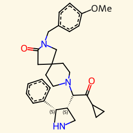 COc1ccc(CN2CC3(CCN(C(C(=O)C4CC4)[C@@H]4CNC[C@@H]4c4ccccc4)CC3)CC2=O)cc1